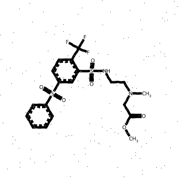 COC(=O)CN(C)CCNS(=O)(=O)c1cc(S(=O)(=O)c2ccccc2)ccc1C(F)(F)F